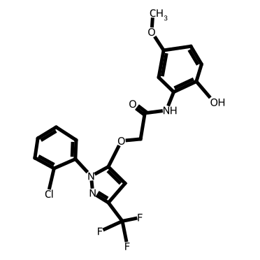 COc1ccc(O)c(NC(=O)COc2cc(C(F)(F)F)nn2-c2ccccc2Cl)c1